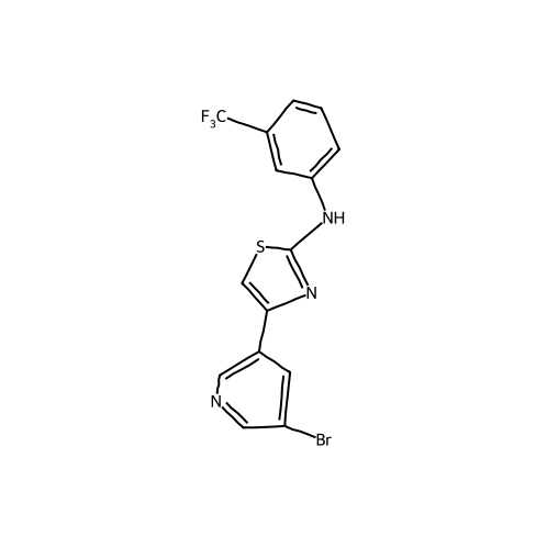 FC(F)(F)c1cccc(Nc2nc(-c3cncc(Br)c3)cs2)c1